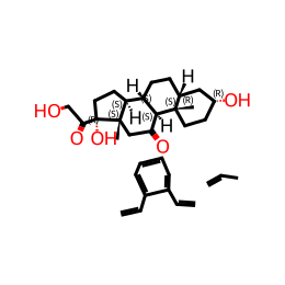 C=CC.C=Cc1ccccc1C=C.C[C@]12CC[C@@H](O)C[C@H]1CC[C@@H]1[C@@H]2C(=O)C[C@@]2(C)[C@H]1CC[C@]2(O)C(=O)CO